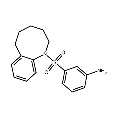 Nc1cccc(S(=O)(=O)N2CCCCCc3ccccc32)c1